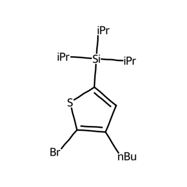 CCCCc1cc([Si](C(C)C)(C(C)C)C(C)C)sc1Br